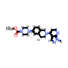 C[C@H]1CN(c2ccnc3c2cnn3C)Cc2ccc(N3CCN(C(=O)OC(C)(C)C)CC3)cc21